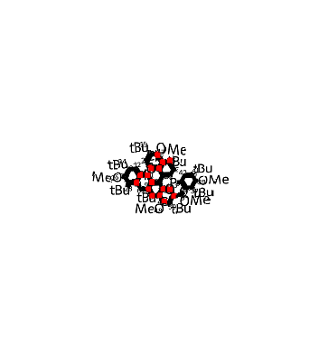 COC(=O)COc1c(Cl)ccc(P(c2cc(C(C)(C)C)c(OC)c(C(C)(C)C)c2)c2cc(C(C)(C)C)c(OC)c(C(C)(C)C)c2)c1-c1c(P(c2cc(C(C)(C)C)c(OC)c(C(C)(C)C)c2)c2cc(C(C)(C)C)c(OC)c(C(C)(C)C)c2)ccc(Cl)c1OC1CCCCC1